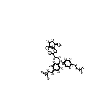 CN(C)CCc1ccc(P(CCC(=O)ON2C(=O)CCC2=O)c2ccc(CCN(C)C)cc2)cc1